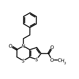 COC(=O)c1cc2c(s1)SCC(=O)N2CCc1ccccc1